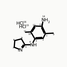 Cc1cc(NC2=NCCC2)c(C)cc1N.Cl.Cl